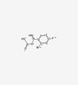 N=C(OC(=O)S)c1ccc(F)cc1Br